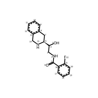 O=C(NCC(O)[C@@H]1Cc2ccccc2CN1)c1ccccc1F